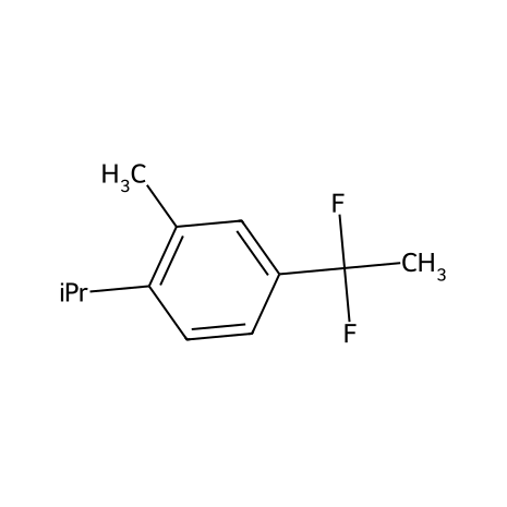 Cc1cc(C(C)(F)F)ccc1C(C)C